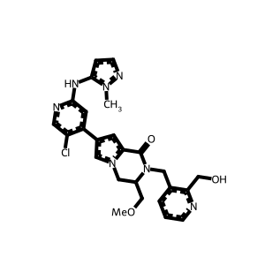 COCC1Cn2cc(-c3cc(Nc4ccnn4C)ncc3Cl)cc2C(=O)N1Cc1cccnc1CO